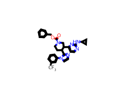 O=C(OCc1ccccc1)N1CCC(c2nccn2-c2cccc(C(F)(F)F)c2)C(c2ccnc(NC3CC3)n2)C1